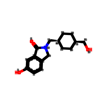 O=C1c2cc(O)ccc2CN1C[C@H]1CC[C@H](CO)CC1